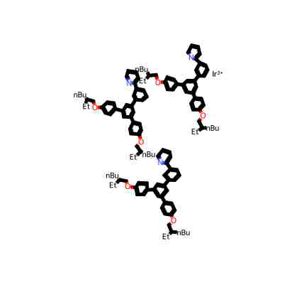 CCCCC(CC)COc1ccc(-c2cc(-c3ccc(OCC(CC)CCCC)cc3)cc(-c3cccc(-c4ccccn4)c3)c2)cc1.CCCCC(CC)COc1ccc(-c2cc(-c3ccc(OCC(CC)CCCC)cc3)cc(-c3cccc(-c4ccccn4)c3)c2)cc1.CCCCC(CC)COc1ccc(-c2cc(-c3ccc(OCC(CC)CCCC)cc3)cc(-c3cccc(-c4ccccn4)c3)c2)cc1.[Ir+3]